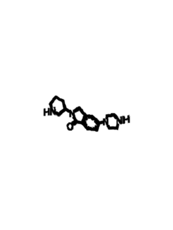 O=C1c2ccc(N3CCNCC3)cc2CN1C1CCCNC1